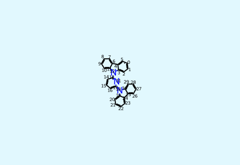 [c]1ccc2c(c1)c1ccccc1n2-c1cccc(-n2c3ccccc3c3ccccc32)n1